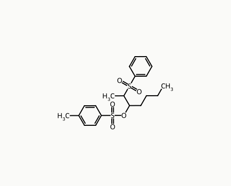 CCCCC(OS(=O)(=O)c1ccc(C)cc1)C(C)S(=O)(=O)c1ccccc1